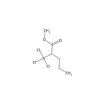 CCCC(C(=O)OC)[Si](Cl)(Cl)Cl